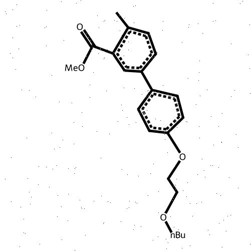 CCCCOCCOc1ccc(-c2ccc(C)c(C(=O)OC)c2)cc1